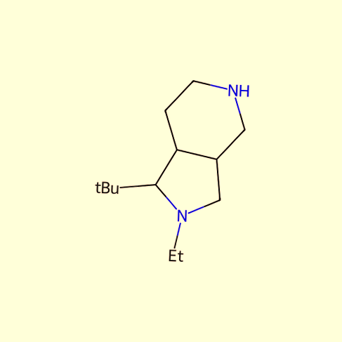 CCN1CC2CNCCC2C1C(C)(C)C